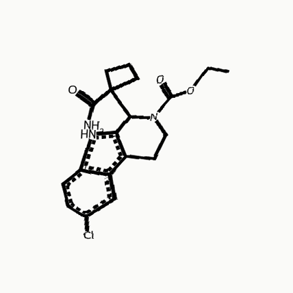 CCOC(=O)N1CCc2c([nH]c3ccc(Cl)cc23)C1C1(C(N)=O)CCC1